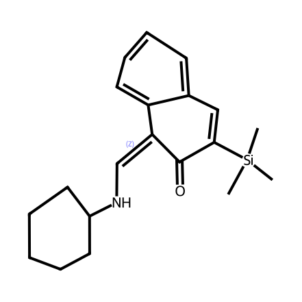 C[Si](C)(C)C1=Cc2ccccc2/C(=C/NC2CCCCC2)C1=O